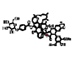 COc1cc(C2c3cc4c(cc3C(NC(=O)/C(C)=C\CC35OC(C)(C)C6CC(C=C7C(=O)c8c(OC(=O)c9ccc(O[C@@H]%10O[C@H](CO)[C@@H](O)[C@H](O)[C@H]%10O)cc9)c9c(c(CC=C(C)C)c8OC763)OC(C)(CCC=C(C)C)C=C9)C5=O)C3COC(=O)C23)OCO4)cc(OC)c1O